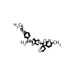 CSON1c2ccc(N(P)n3cc4c(n3)CN(C(=O)C3(c5ccc(C)nc5)CCOC3)C4)cc21